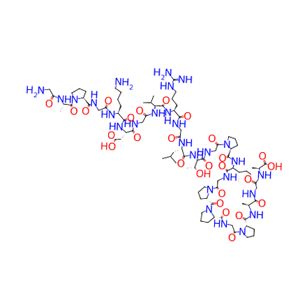 CC[C@H](C)[C@H](NC(=O)[C@@H]1CCCN1C(=O)CNC(=O)[C@@H](NC(=O)[C@H](CC(C)C)NC(=O)CNC(=O)[C@H](CCCNC(=N)N)NC(=O)[C@@H](NC(=O)CNC(=O)[C@H](CC(=O)O)NC(=O)[C@H](CCCCN)NC(=O)CNC(=O)[C@@H]1CCCN1C(=O)[C@H](C)NC(=O)CN)C(C)C)[C@@H](C)O)C(=O)NCC(=O)N1CCC[C@H]1C(=O)N1CCC[C@H]1C(=O)NCC(=O)N1CCC[C@H]1C(=O)N[C@@H](C)C(=O)NCC(=O)N[C@@H](C)C(=O)O